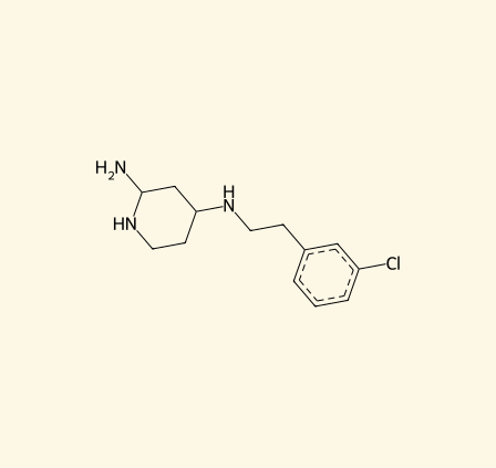 NC1CC(NCCc2cccc(Cl)c2)CCN1